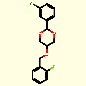 Fc1ccccc1COC1COC(c2cccc(Cl)c2)OC1